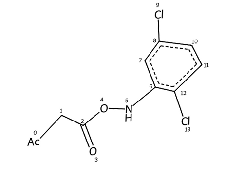 CC(=O)CC(=O)ONc1cc(Cl)ccc1Cl